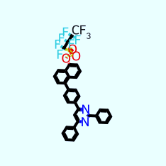 O=S(=O)(Oc1cccc2c(-c3ccc(-c4cc(-c5ccccc5)nc(-c5ccccc5)n4)cc3)cccc12)C(F)(F)C(F)(F)C(F)(F)C(F)(F)F